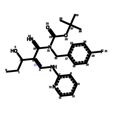 CCC(O)/C(=C/Nc1ccccn1)C(=N)N(Cc1ccc(F)cc1)C(=O)OC(C)(C)C